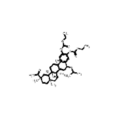 CCOC(=O)Oc1cc2c(cc1OC(=O)OCC)[C@]1(C)CC[C@@]3(C)[C@@H]4C[C@](C)(C(N)=O)CC[C@]4(C)CC[C@]3(C)C1=CC2SC(C)C